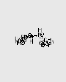 COCCCC(C)(CCCOO)CCCOC(=O)NCCCCCCNC(=O)CCCOC1OC(CO)C(O)C(O)C1NC(C)=O